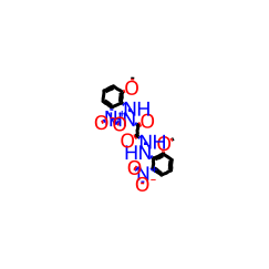 COc1cccc([N+](=O)[O-])c1NNC(=O)C(=O)NNc1c(OC)cccc1[N+](=O)[O-]